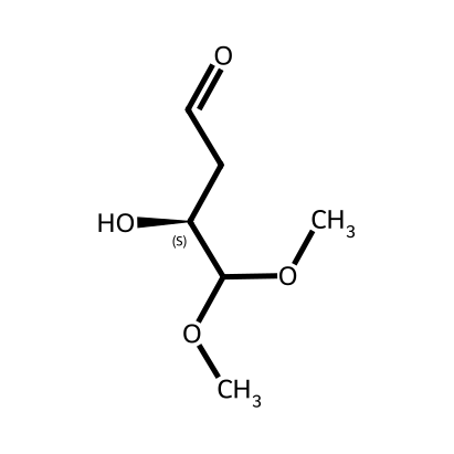 COC(OC)[C@@H](O)CC=O